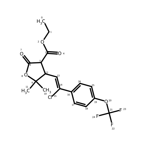 CCOC(=O)C1C(=O)OC(C)(C)C1C=C(Cl)c1ccc(OC(F)(F)F)cc1